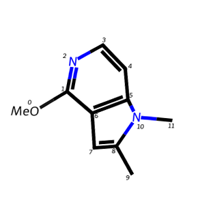 COc1nccc2c1cc(C)n2C